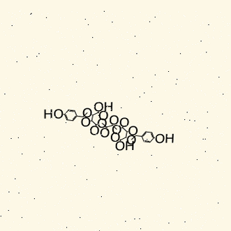 O=C(OC(=O)C1OC(c2ccc(O)cc2)OC1C(=O)O)C(=O)OC(=O)C1OC(c2ccc(O)cc2)OC1C(=O)O